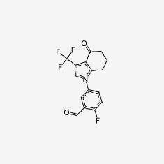 O=Cc1cc(-n2cc(C(F)(F)F)c3c2CCCC3=O)ccc1F